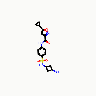 NC1CC(NS(=O)(=O)c2ccc(NC(=O)c3cc(C4CC4)on3)cc2)C1